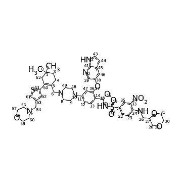 CC1(C)CCC(CN2CCN(c3ccc(C(=O)NS(=O)(=O)c4ccc(NCC5COCCO5)c([N+](=O)[O-])c4)c(Oc4cnc5[nH]ccc5c4)c3)CC2)=C(c2cc(CN3CCOCC3)cs2)C1